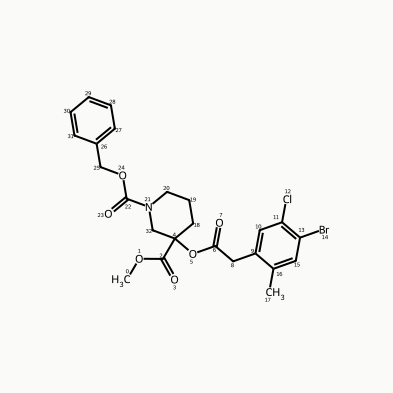 COC(=O)C1(OC(=O)Cc2cc(Cl)c(Br)cc2C)CCCN(C(=O)OCc2ccccc2)C1